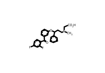 CN(CCC(Oc1cccc(C(=O)c2ccc(F)cc2F)c1)c1ccccc1)CC(=O)O